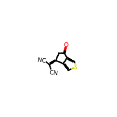 N#CC(C#N)=C1CC(=O)c2cscc21